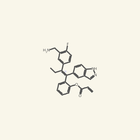 C=CC(=O)Oc1ccccc1/C(=C(\CC)c1ccc(F)c(CN)c1)c1ccc2[nH]ncc2c1